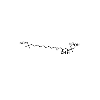 CCCCCCCCC(C)(C)CCCCCCCCCOCC(O)CNC(C)(CO)CO